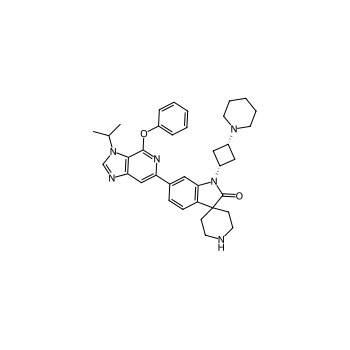 CC(C)n1cnc2cc(-c3ccc4c(c3)N([C@H]3C[C@@H](N5CCCCC5)C3)C(=O)C43CCNCC3)nc(Oc3ccccc3)c21